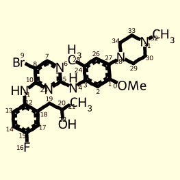 COc1cc(Nc2ncc(Br)c(Nc3ccc(F)cc3CC(C)O)n2)c(C)cc1N1CCN(C)CC1